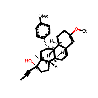 CC#C[C@]1(O)CC[C@H]2[C@@H]3CC=C4C=C(OCC)CC[C@@H]4[C@H]3[C@@H](c3ccc(OC)cc3)C[C@@]21C